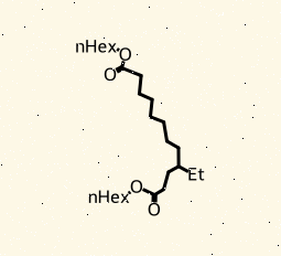 CCCCCCOC(=O)CCCCCCCC(CC)CCC(=O)OCCCCCC